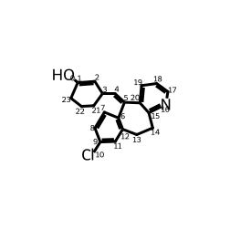 OC1=CC(/C=C2\c3ccc(Cl)cc3CCc3ncccc32)CCC1